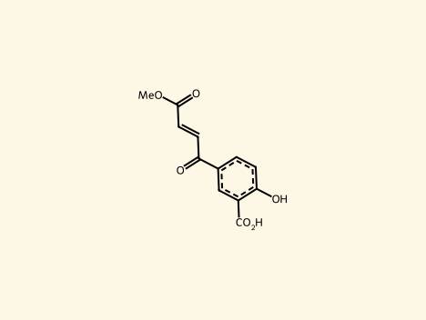 COC(=O)C=CC(=O)c1ccc(O)c(C(=O)O)c1